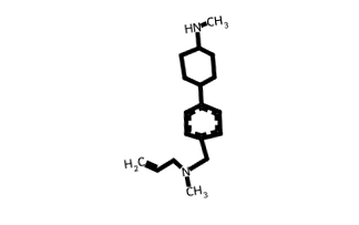 C=CCN(C)Cc1ccc(C2CCC(NC)CC2)cc1